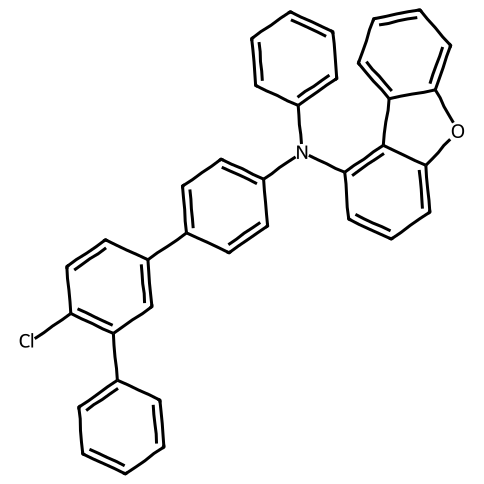 Clc1ccc(-c2ccc(N(c3ccccc3)c3cccc4oc5ccccc5c34)cc2)cc1-c1ccccc1